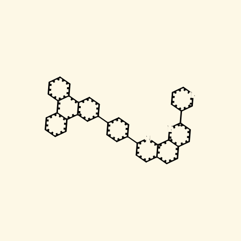 c1cncc(-c2ccc3ccc4ccc(-c5ccc(-c6ccc7c8ccccc8c8ccccc8c7c6)cc5)nc4c3n2)c1